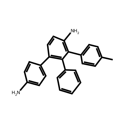 Cc1ccc(-c2c(N)ccc(-c3ccc(N)cc3)c2-c2ccccc2)cc1